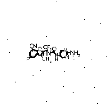 Cc1c([C@@H](NC(=O)Nc2cnc(N)nc2)C(F)(F)F)oc2c(C#N)cc(F)cc12